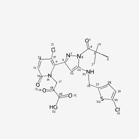 CC(C)(C)C(=O)n1nc(-c2c(Cl)ccc(=O)n2CC(=O)C(=O)O)cc1NCc1ccc(Cl)s1